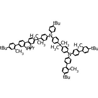 Cc1cc(C(C)(C)C)ccc1-c1ccc(N(c2ccc(-c3ccc(C(C)(C)C)cc3C)cc2)c2ccc(C(C)(C)c3ccc(N(c4ccc(C(C)(C)C)cc4)c4ccc(C(C)(C)c5ccc(-c6ccc(-c7ccc(C(C)(C)C)cc7C)cc6C(C)C)c(C(C)C)c5)cc4)cc3)cc2)cc1